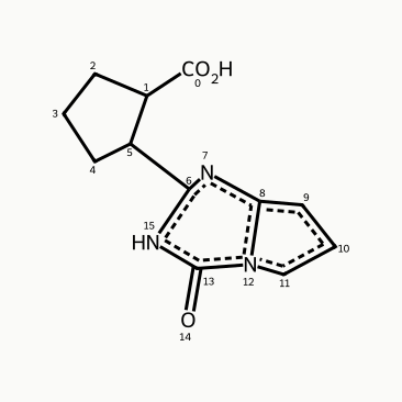 O=C(O)C1CCCC1c1nc2cccn2c(=O)[nH]1